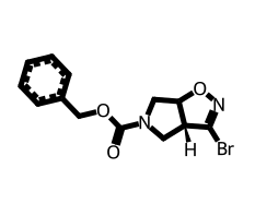 O=C(OCc1ccccc1)N1CC2ON=C(Br)[C@@H]2C1